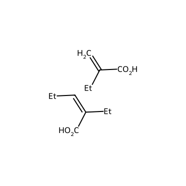 C=C(CC)C(=O)O.CCC=C(CC)C(=O)O